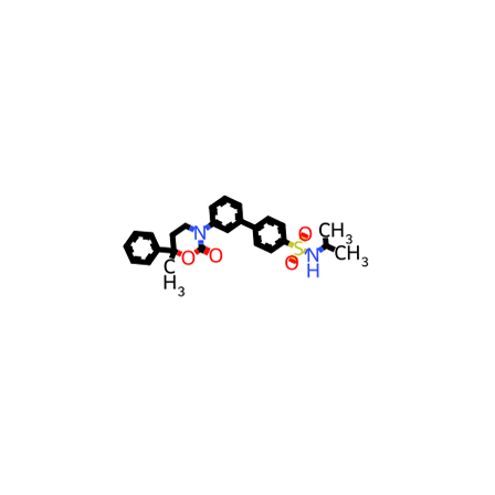 CC(C)NS(=O)(=O)c1ccc(-c2cccc(N3CCC(C)(c4ccccc4)OC3=O)c2)cc1